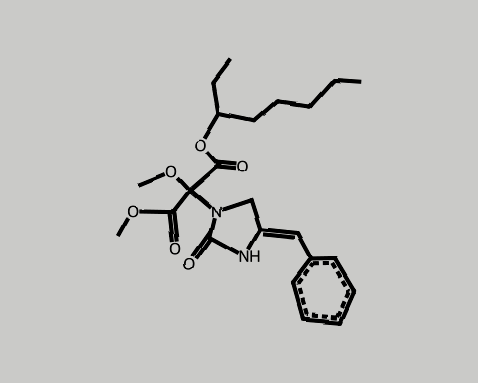 CCCCCC(CC)OC(=O)C(OC)(C(=O)OC)N1CC(=Cc2ccccc2)NC1=O